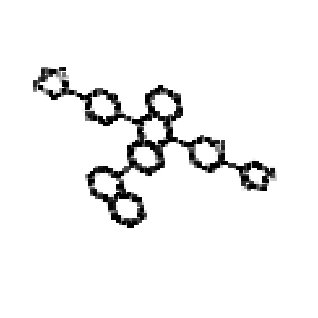 c1ccc2c(-c3ccc4c(-c5ccc(-c6cncs6)nc5)c5ccccc5c(-c5ccc(-c6cncs6)nc5)c4c3)cccc2c1